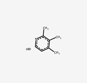 Br.Cc1ccnc(C)c1C